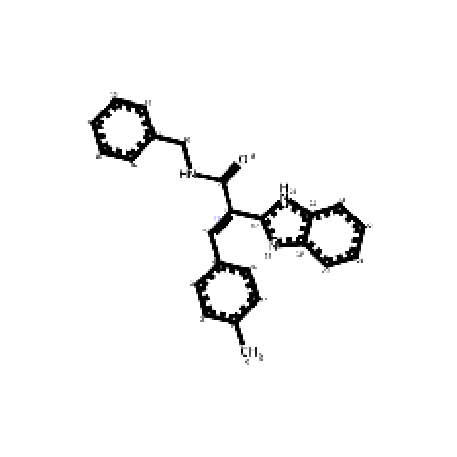 Cc1ccc(/C=C(/C(=O)NCc2ccccc2)c2nc3ccccc3[nH]2)cc1